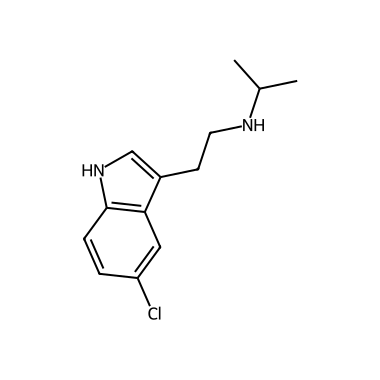 CC(C)NCCc1c[nH]c2ccc(Cl)cc12